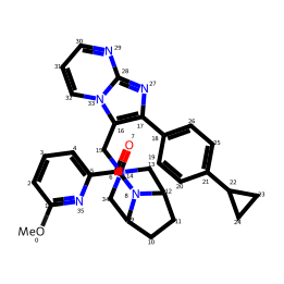 COc1cccc(C(=O)N2C3CCC2CN(Cc2c(-c4ccc(C5CC5)cc4)nc4ncccn24)C3)n1